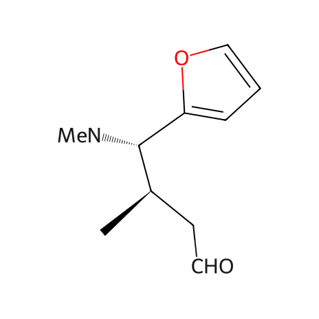 CN[C@H](c1ccco1)[C@H](C)CC=O